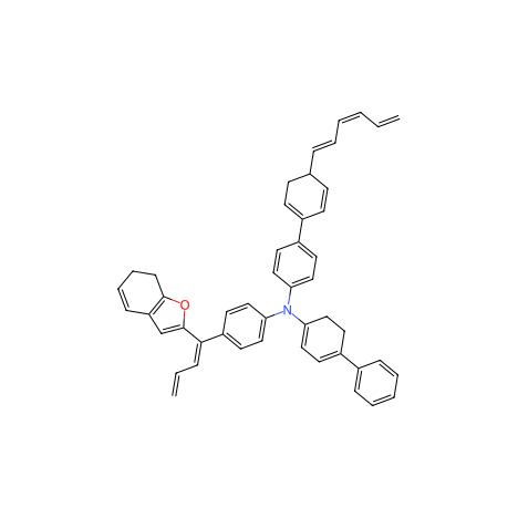 C=C/C=C\C=C\C1C=CC(c2ccc(N(C3=CC=C(c4ccccc4)CC3)c3ccc(/C(=C/C=C)c4cc5c(o4)CCC=C5)cc3)cc2)=CC1